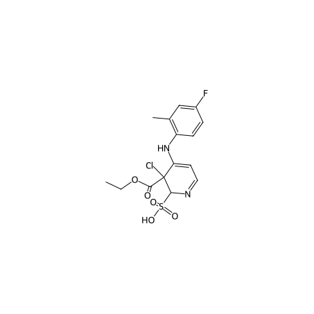 CCOC(=O)C1(Cl)C(Nc2ccc(F)cc2C)=CC=NC1S(=O)(=O)O